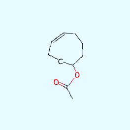 CC(=O)OC1CCC=CCCC1